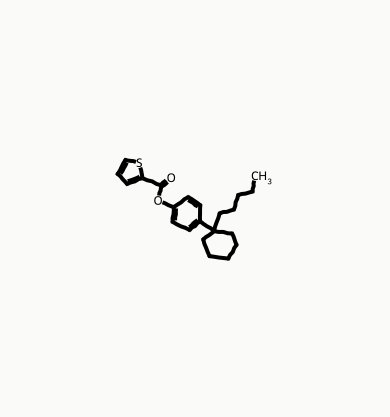 CCCCCC1(c2ccc(OC(=O)c3cccs3)cc2)CCCCC1